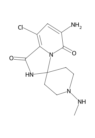 CNN1CCC2(CC1)NC(=O)c1c(Cl)cc(N)c(=O)n12